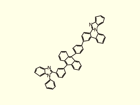 c1ccc(-n2c(-c3cccc(-c4c5ccccc5c(-c5ccc(-c6ccc7c(c6)c6ccccc6n6c8ccccc8nc76)cc5)c5ccccc45)c3)nc3ccccc32)cc1